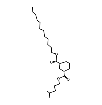 CCCCCCCCCCCCOC(=O)C1CCCC(C(=O)OCCCC(C)C)C1